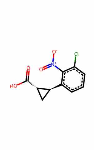 O=C(O)[C@H]1C[C@@H]1c1cccc(Cl)c1[N+](=O)[O-]